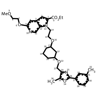 CCOC(=O)c1cc2cc(OCCOC)ncc2n1CCOC1CCCC(OCc2nc(-c3cccc(C)c3)oc2C)C1